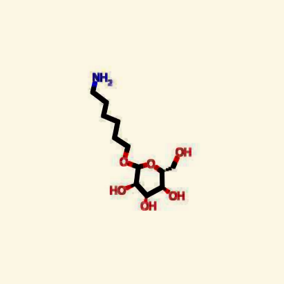 NCCCCCCOC1O[C@H](CO)[C@@H](O)[C@H](O)[C@H]1O